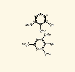 COc1cc(C(=O)O)cc(OC)c1O.COc1cccc(O)c1OC